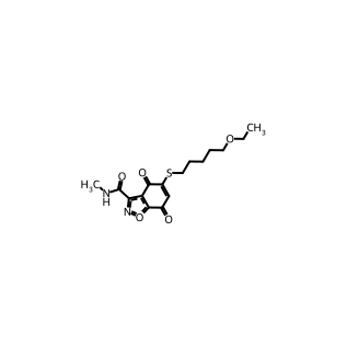 CCOCCCCCSC1=CC(=O)c2onc(C(=O)NC)c2C1=O